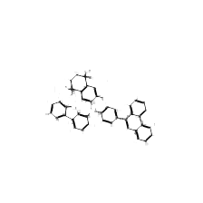 Cc1cc2c(cc1N(c1ccc(-c3cc4ccccc4c4ccccc34)cc1)c1cccc3c1sc1ccccc13)C(C)(C)CCC2(C)C